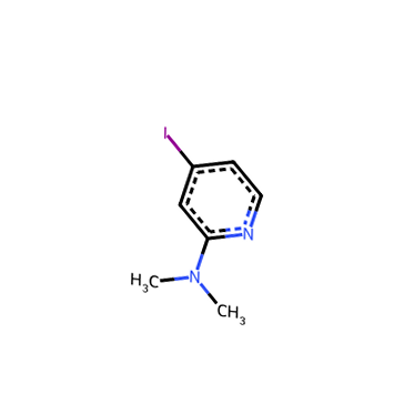 CN(C)c1cc(I)ccn1